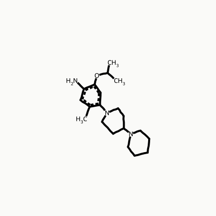 Cc1cc(N)c(OC(C)C)cc1N1CCC(N2CCCCC2)CC1